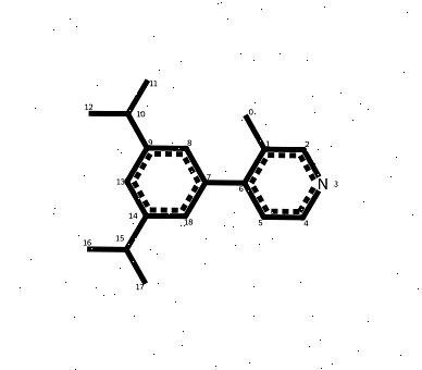 Cc1cnccc1-c1cc(C(C)C)cc(C(C)C)c1